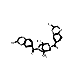 CC(=O)C1COc2ccc(C(=O)N3CC4(C)CN(C(=O)c5ccc6c(c5)OC(C(C)=O)CO6)CC(C)(C3)C4)cc2O1